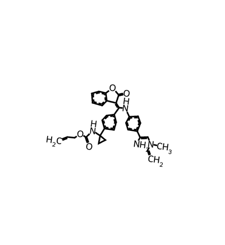 C=CCOC(=O)NC1(c2ccc(/C(Nc3ccc(/C(N)=C/N(C)C=C)cc3)=C3/C(=O)Oc4ccccc43)cc2)CC1